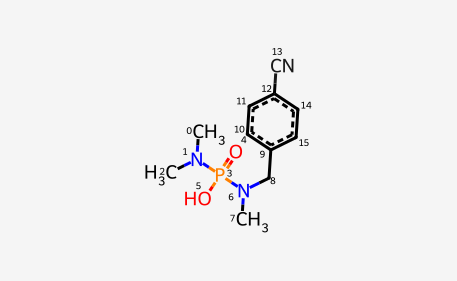 CN(C)P(=O)(O)N(C)Cc1ccc(C#N)cc1